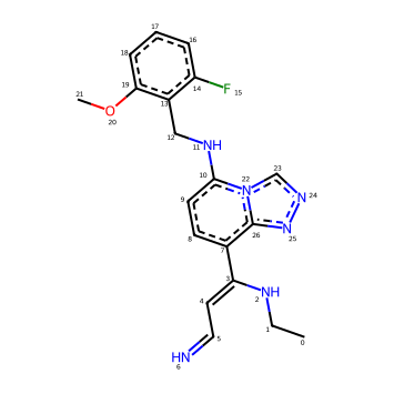 CCN/C(=C\C=N)c1ccc(NCc2c(F)cccc2OC)n2cnnc12